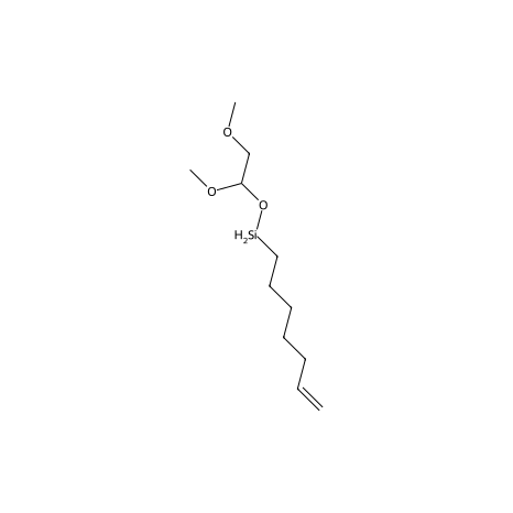 C=CCCCCC[SiH2]OC(COC)OC